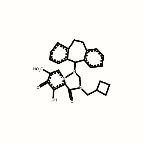 O=C(O)c1cn2c(c(O)c1=O)C(=O)N(CC1CCC1)CN2C1c2ccccc2CCc2ccccc21